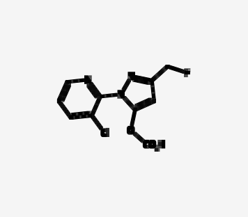 O=C(O)Oc1cc(CF)nn1-c1ncccc1Cl